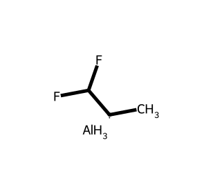 C[CH]C(F)F.[AlH3]